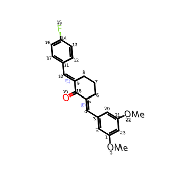 COc1cc(/C=C2\CCC/C(=C\c3ccc(F)cc3)C2=O)cc(OC)c1